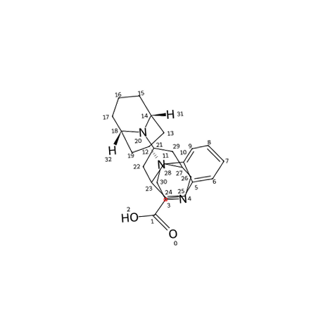 O=C(O)C1=Nc2ccccc2N([C@H]2C[C@H]3CCC[C@@H](C2)N3C2CC3CCCC(C3)C2)C1